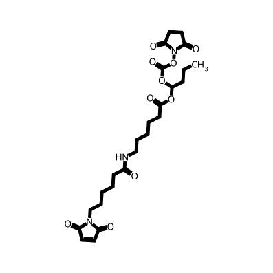 CCCC(OC(=O)CCCCCNC(=O)CCCCCN1C(=O)C=CC1=O)OC(=O)ON1C(=O)CCC1=O